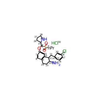 CCCS(=O)(=O)[C@@H](Oc1ccc2c(c1)C(Cc1cccc(Cl)c1)C(N)CC2)C1CCCN1.Cl